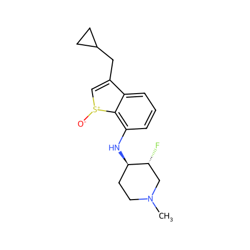 CN1CC[C@@H](Nc2cccc3c(CC4CC4)c[s+]([O-])c23)[C@H](F)C1